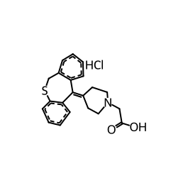 Cl.O=C(O)CN1CCC(=C2c3ccccc3CSc3ccccc32)CC1